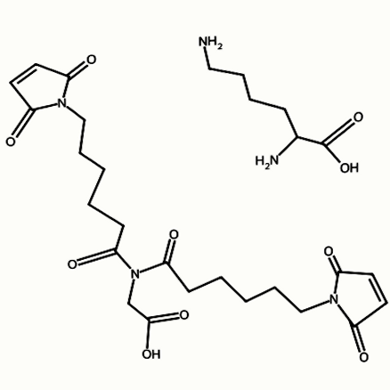 NCCCCC(N)C(=O)O.O=C(O)CN(C(=O)CCCCCN1C(=O)C=CC1=O)C(=O)CCCCCN1C(=O)C=CC1=O